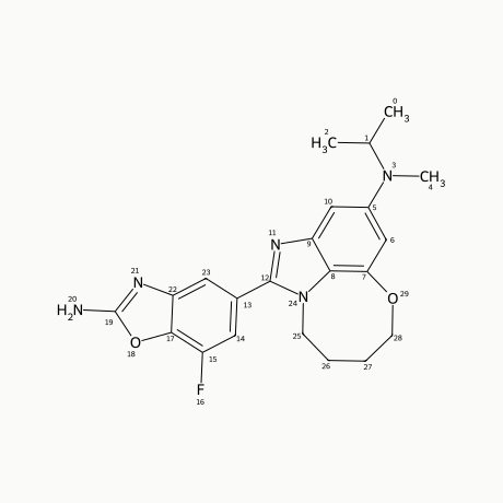 CC(C)N(C)c1cc2c3c(c1)nc(-c1cc(F)c4oc(N)nc4c1)n3CCCCO2